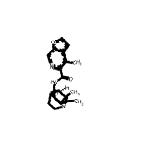 Cc1c(C(=O)N[C@@H]2C3CCN(CC3)C2(C)C)ncc2occc12